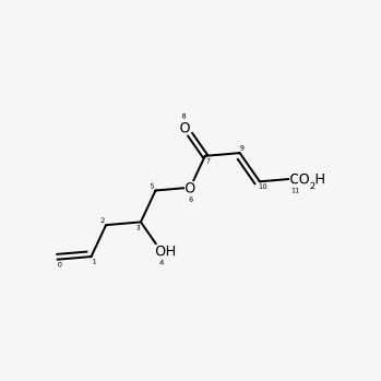 C=CCC(O)COC(=O)C=CC(=O)O